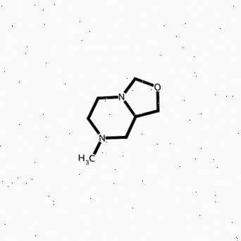 CN1CCN2COCC2C1